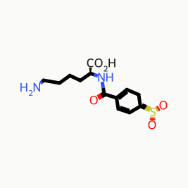 NCCCC[C@H](NC(=O)C1=CCC(=S(=O)=O)C=C1)C(=O)O